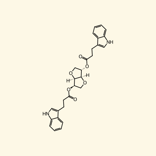 O=C(CCc1c[nH]c2ccccc12)O[C@H]1CO[C@H]2[C@@H]1OC[C@H]2OC(=O)CCc1c[nH]c2ccccc12